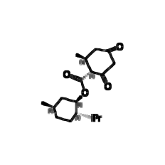 CC(C)[C@@H]1CC[C@@H](C)C[C@H]1OC(=O)[C@H]1C(=O)CC(=O)C[C@@H]1C